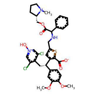 COc1ccc([C@H](Cc2c(Cl)c[n+](O)cc2Cl)c2cc(CNC(C(=O)OC[C@@H]3CCCN3C)c3ccccc3)sc2C(=O)[O-])cc1OC